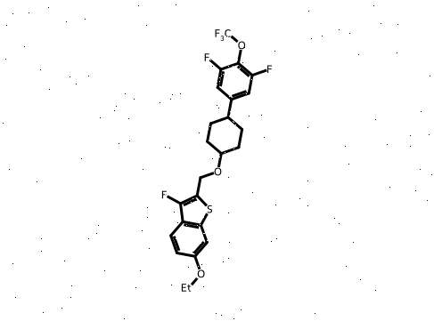 CCOc1ccc2c(F)c(COC3CCC(c4cc(F)c(OC(F)(F)F)c(F)c4)CC3)sc2c1